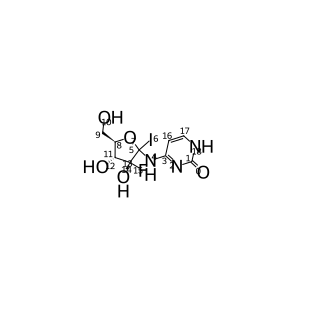 O=c1nc(NC2(I)O[C@H](CO)[C@@H](O)[C@@]2(O)F)cc[nH]1